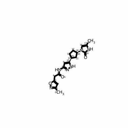 Cc1cc(CC(=O)Nc2cc([C@H]3CC[C@@H](n4cc(C)[nH]c4=O)C3)[nH]n2)on1